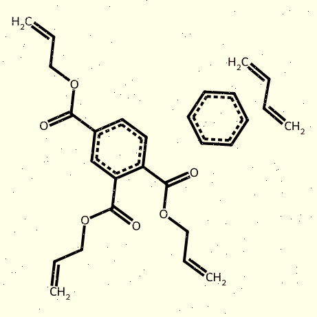 C=CC=C.C=CCOC(=O)c1ccc(C(=O)OCC=C)c(C(=O)OCC=C)c1.c1ccccc1